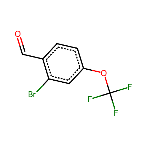 O=Cc1ccc(OC(F)(F)F)cc1Br